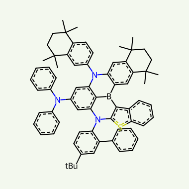 CC(C)(C)c1ccc(N2c3cc(N(c4ccccc4)c4ccccc4)cc4c3B(c3cc5c(cc3N4c3ccc4c(c3)C(C)(C)CCC4(C)C)C(C)(C)CCC5(C)C)c3c2sc2ccccc32)c(-c2ccccc2)c1